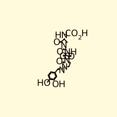 O=C(O)N[C@H]1CN(C(=O)NS(=O)(=O)N2CCN(N=Cc3ccc(O)c(O)c3)C2=O)C1=O